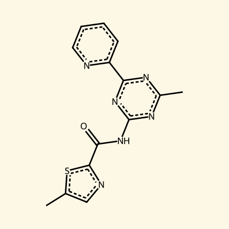 Cc1nc(NC(=O)c2ncc(C)s2)nc(-c2ccccn2)n1